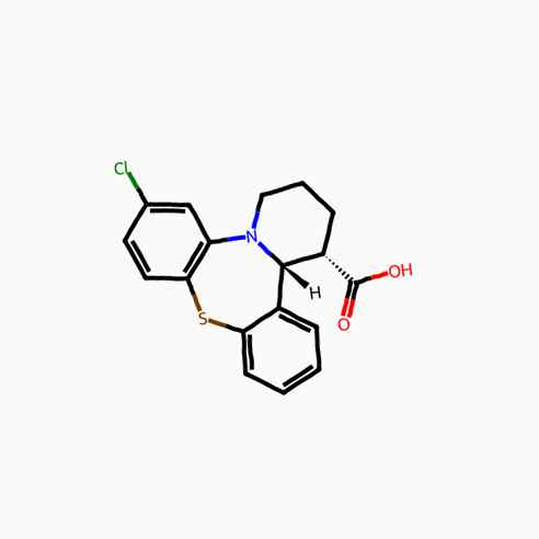 O=C(O)[C@H]1CCCN2c3cc(Cl)ccc3Sc3ccccc3[C@@H]12